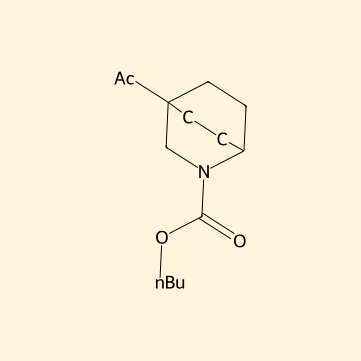 CCCCOC(=O)N1CC2(C(C)=O)CCC1CC2